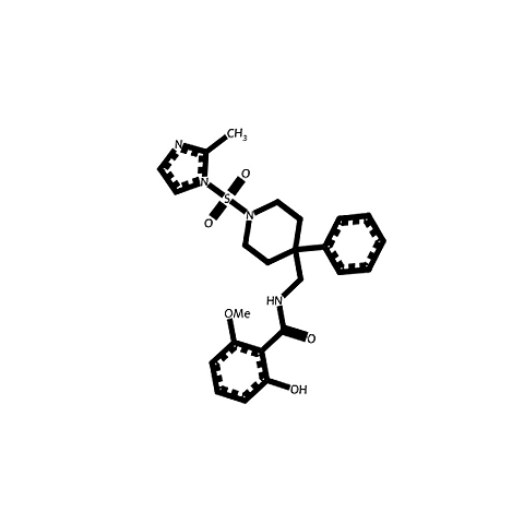 COc1cccc(O)c1C(=O)NCC1(c2ccccc2)CCN(S(=O)(=O)n2ccnc2C)CC1